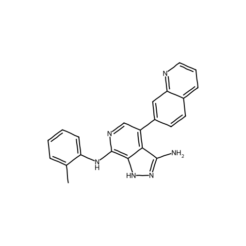 Cc1ccccc1Nc1ncc(-c2ccc3cccnc3c2)c2c(N)n[nH]c12